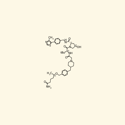 Cc1ncsc1-c1ccc(CNC(=O)[C@@H]2C[C@@H](O)CN2C(=O)[C@@H](NC(=O)CN2CCC(Cc3ccc(CO[C@H](C)CCCC(N)=O)cc3)CC2)C(C)(C)C)cc1